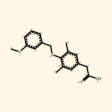 COc1cccc(COc2c(C)cc(CC(=O)O)cc2C)c1